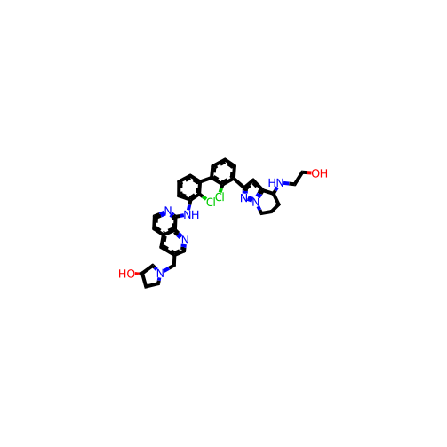 OCCNC1CCCn2nc(-c3cccc(-c4cccc(Nc5nccc6cc(CN7CC[C@@H](O)C7)cnc56)c4Cl)c3Cl)cc21